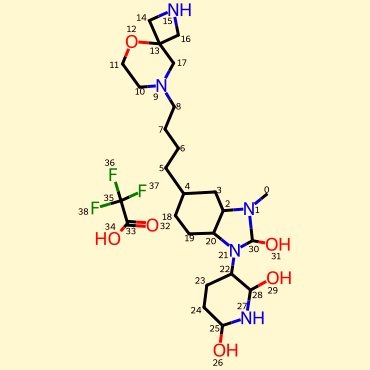 CN1C2CC(CCCCN3CCOC4(CNC4)C3)CCC2N(C2CCC(O)NC2O)C1O.O=C(O)C(F)(F)F